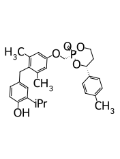 Cc1ccc([C@H]2CCO[P@@](=O)(COc3cc(C)c(Cc4ccc(O)c(C(C)C)c4)c(C)c3)O2)cc1